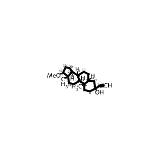 C#C[C@@]1(O)CC[C@@]2(C)[C@H](CC[C@@H]3[C@@H]2CC[C@]2(C)[C@@H](OC)CC[C@@H]32)C1